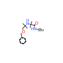 CC(C)(C)NC(=O)C(C)(C)NC(C)(C)COCc1ccccc1